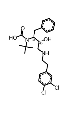 CC(C)(C)N(C(=O)O)[C@@H](Cc1ccccc1)[C@H](O)CNCCc1ccc(Cl)c(Cl)c1